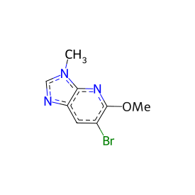 COc1nc2c(cc1Br)ncn2C